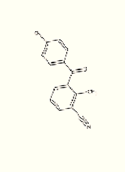 Cc1c(C#N)cccc1C(=O)c1ccc(Cl)cc1